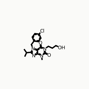 CC(C)c1nc2c(c(=O)n(CCCO)c(=O)n2C)n1Cc1ccc(Cl)cc1